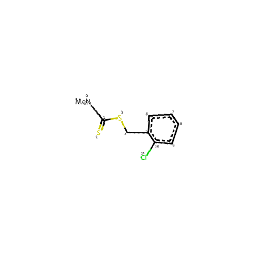 CNC(=S)SCc1ccccc1Cl